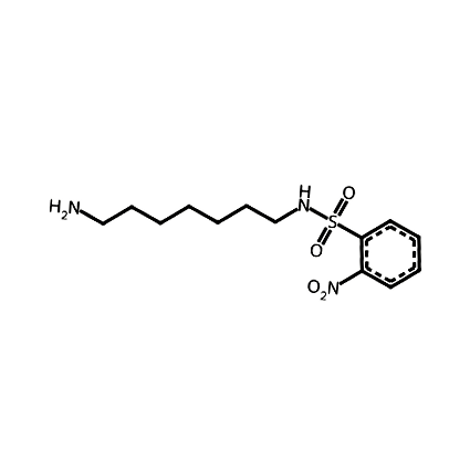 NCCCCCCCNS(=O)(=O)c1ccccc1[N+](=O)[O-]